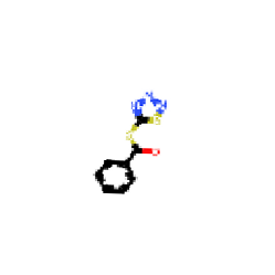 O=C(Sc1nnns1)c1ccccc1